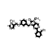 CC(C)c1ccccc1-c1ncc2c(n1)n(Cc1cccc(OCc3cncn3C)c1)c(=O)n2C